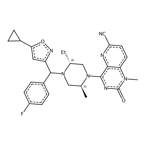 CC[C@@H]1CN(c2nc(=O)n(C)c3ccc(C#N)nc23)[C@@H](C)CN1C(c1ccc(F)cc1)c1cc(C2CC2)on1